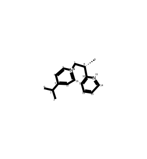 CC(C)c1cc[n+](C[C@H](C)c2ccccn2)cc1